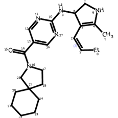 CC/C=C\C1=C(C)NCC1Nc1ncc(C(=O)N2CCC3(CCCCC3)C2)cn1